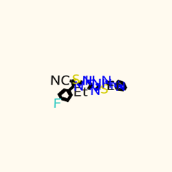 CCc1nc(SC(N)N2CC3CC(C2)N3CC)[nH]c1N(C)c1nc(-c2ccc(F)cc2)c(C#N)s1